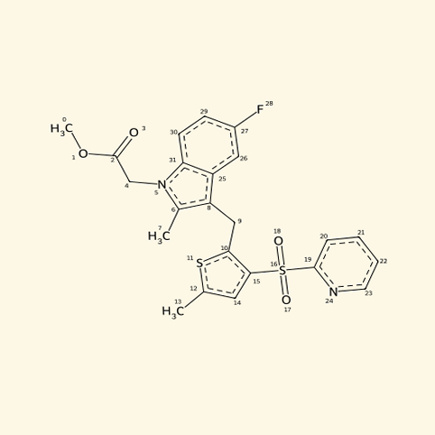 COC(=O)Cn1c(C)c(Cc2sc(C)cc2S(=O)(=O)c2ccccn2)c2cc(F)ccc21